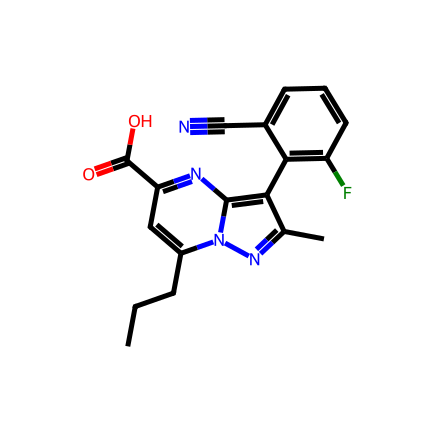 CCCc1cc(C(=O)O)nc2c(-c3c(F)cccc3C#N)c(C)nn12